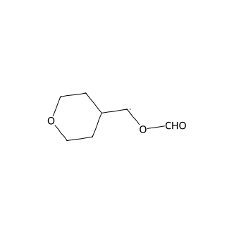 O=CO[CH]C1CCOCC1